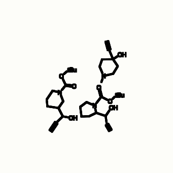 C#CC(O)C1CCCCN1C(=O)OC(C)(C)C.C#CC(O)C1CCCN(C(=O)OC(C)(C)C)C1.C#CC1(O)CCN(C)CC1